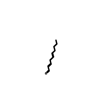 CCCCC=CCC=CC=O